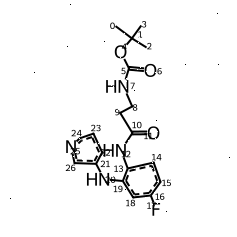 CC(C)(C)OC(=O)NCCC(=O)Nc1ccc(F)cc1Nc1cccnc1